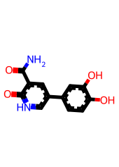 NC(=O)c1cc(-c2ccc(O)c(O)c2)c[nH]c1=O